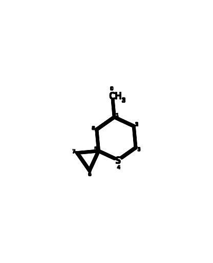 CC1CCSC2(CC2)C1